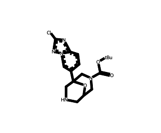 CC(C)(C)OC(=O)N1CC2CNCC(c3ccc4nc(Cl)nn4c3)(C1)O2